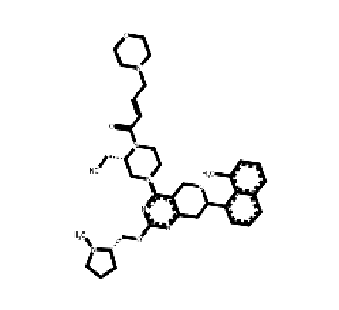 Cc1cccc2cccc(C3Cc4nc(OC[C@@H]5CCCN5C)nc(N5CCN(C(=O)/C=C/CN6CCOCC6)[C@@H](CC#N)C5)c4CO3)c12